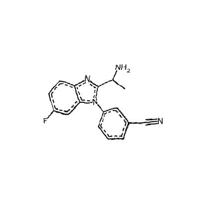 CC(N)c1nc2ccc(F)cc2n1-c1cccc(C#N)c1